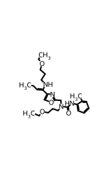 CC/C=C(\NCCCOCC)c1coc(CN(CCCOCC)C(=O)Nc2ccccc2C)n1